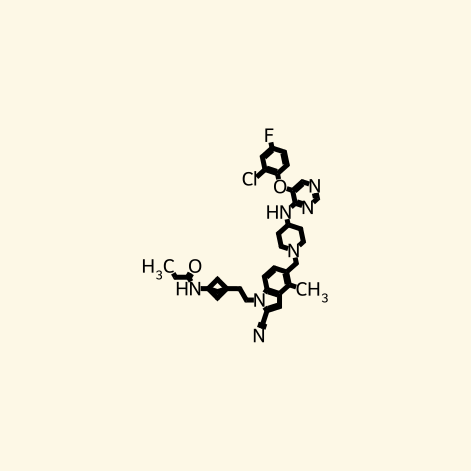 CCC(=O)NC12CC(CCn3c(C#N)cc4c(C)c(CN5CCC(Nc6ncncc6Oc6ccc(F)cc6Cl)CC5)ccc43)(C1)C2